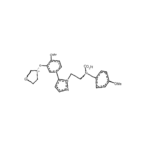 COc1ccc(N(CCn2nccc2-c2ccc(OC)c(O[C@@H]3CCOC3)c2)C(=O)O)cc1